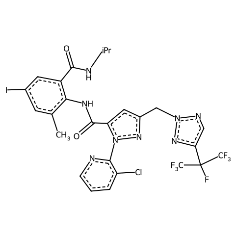 Cc1cc(I)cc(C(=O)NC(C)C)c1NC(=O)c1cc(Cn2ncc(C(F)(C(F)(F)F)C(F)(F)F)n2)nn1-c1ncccc1Cl